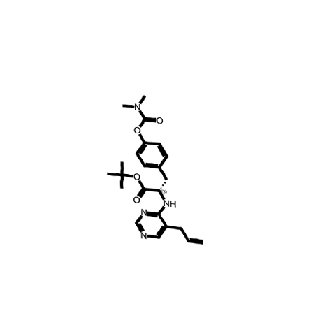 C=CCc1cncnc1N[C@@H](Cc1ccc(OC(=O)N(C)C)cc1)C(=O)OC(C)(C)C